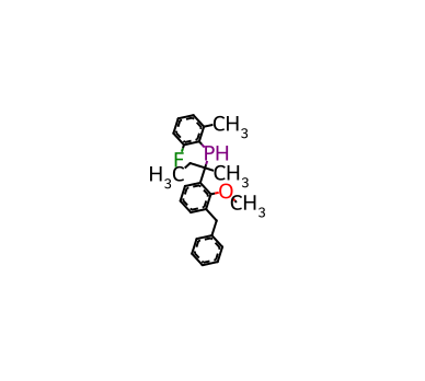 CCC(C)(Pc1c(C)cccc1F)c1cccc(Cc2ccccc2)c1OC